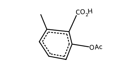 CC(=O)Oc1cccc(C)c1C(=O)O